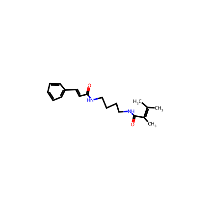 CC(C)=C(C)C(=O)NCCCCNC(=O)C=Cc1ccccc1